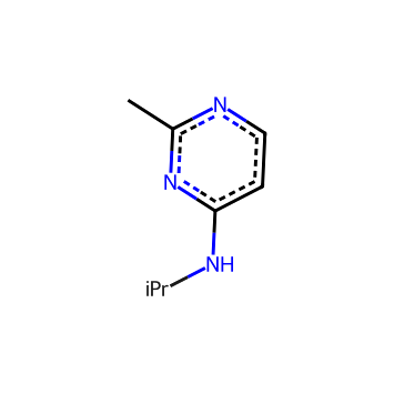 Cc1nccc(NC(C)C)n1